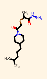 CC(C)CCCC1CCN(C(=O)CSC(C)C(=O)NN)CC1